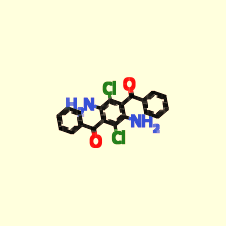 Nc1c(Cl)c(C(=O)c2ccccc2)c(N)c(Cl)c1C(=O)c1ccccc1